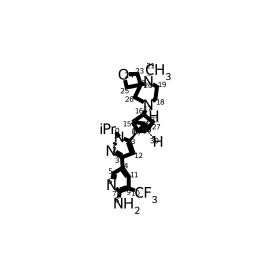 CC(C)n1nc(-c2cnc(N)c(C(F)(F)F)c2)cc1[C@]12C3C(N4CCN(C)C5(COC5)C4)C[C@@H]1[C@H]32